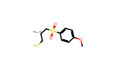 COc1ccc(S(=O)(=O)C[C@@H](C)CS)cc1